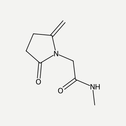 C=C1CCC(=O)N1CC(=O)NC